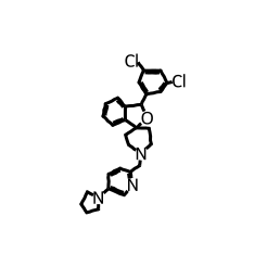 Clc1cc(Cl)cc(C2OC3(CCN(Cc4ccc(N5CCCC5)cn4)CC3)c3ccccc32)c1